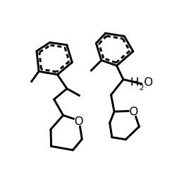 Cc1ccccc1C(C)CC1CCCCO1.Cc1ccccc1C(C)CC1CCCCO1.O